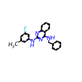 Cc1cc(F)cc(Nc2nc(NCc3ccccc3)c3ccccc3n2)c1